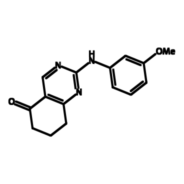 COc1cccc(Nc2ncc3c(n2)CCCC3=O)c1